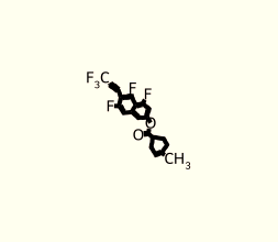 CC1=CCC(C(=O)Oc2cc(F)c3c(F)c(C#CC(F)(F)F)c(F)cc3c2)CC1